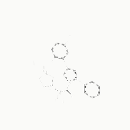 CN1CC[C@H](N(C)C(=O)n2cc(-c3cc(F)ccc3F)cc2-c2ccccc2)C1